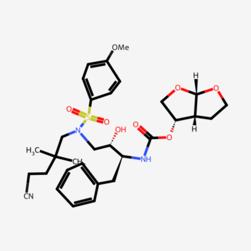 COc1ccc(S(=O)(=O)N(C[C@H](O)[C@H](Cc2ccccc2)NC(=O)O[C@@H]2CO[C@@H]3OCC[C@@H]32)CC(C)(C)CCC#N)cc1